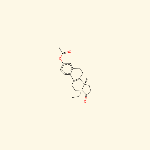 CC[C@]12CCC3=C(CCc4cc(OC(C)=O)ccc43)[C@@H]1CCC2=O